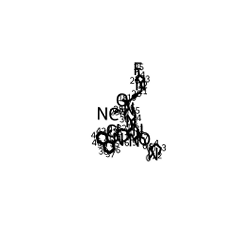 CN1CCC[C@H]1COc1nc2c(c(N3CCN(C(=O)C#CCN4CC(F)C4)[C@@H](CC#N)C3)n1)CCN(c1cccc3cccc(Cl)c13)C2